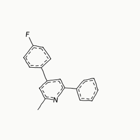 Cc1cc(-c2ccc(F)cc2)cc(-c2ccccc2)n1